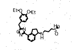 CCOc1ccc(Cc2nc(-c3cccc4c3CCC4NCCC[SH](=O)=O)no2)cc1OCC